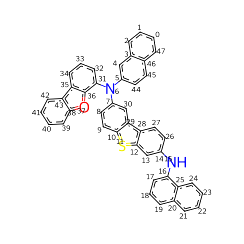 c1ccc2cc(N(c3ccc4sc5cc(Nc6cccc7ccccc67)ccc5c4c3)c3cccc4c3oc3ccccc34)ccc2c1